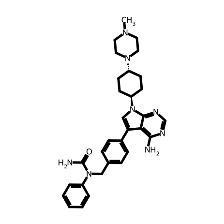 CN1CCN([C@H]2CC[C@H](n3cc(-c4ccc(CN(C(N)=O)c5ccccc5)cc4)c4c(N)ncnc43)CC2)CC1